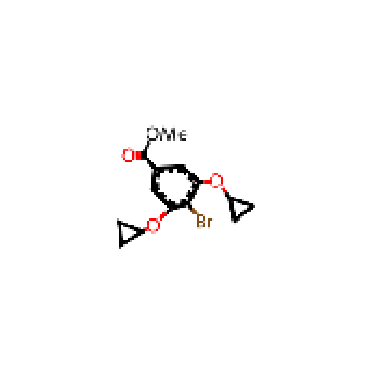 COC(=O)c1cc(OC2CC2)c(Br)c(OC2CC2)c1